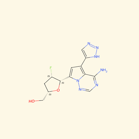 Nc1ncnn2c([C@@H]3O[C@H](CO)C[C@@H]3F)cc(-c3cnn[nH]3)c12